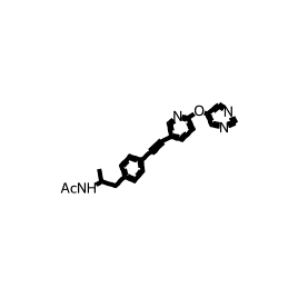 CC(=O)NC(C)Cc1ccc(C#Cc2ccc(Oc3cncnc3)nc2)cc1